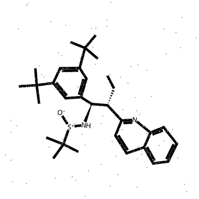 CC[C@H](c1ccc2ccccc2n1)[C@@H](N[S+]([O-])C(C)(C)C)c1cc(C(C)(C)C)cc(C(C)(C)C)c1